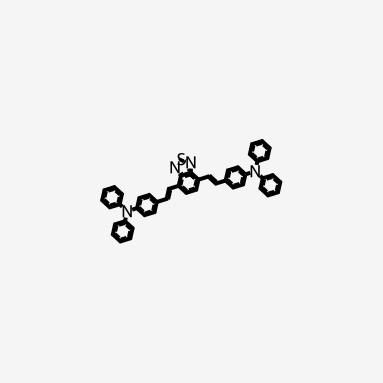 C(=Cc1ccc(C=Cc2ccc(N(c3ccccc3)c3ccccc3)cc2)c2nsnc12)c1ccc(N(c2ccccc2)c2ccccc2)cc1